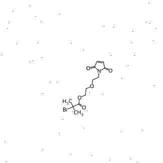 CC(C)(Br)C(=O)OCCOCCN1C(=O)C=CC1=O